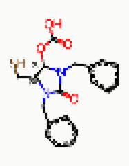 O=C(O)O[C@@H]1[C@H](CS)N(Cc2ccccc2)C(=O)N1Cc1ccccc1